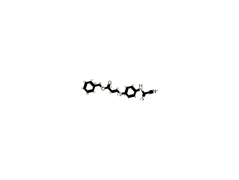 N#CC(=S)Nc1ccc(S/C=C/C(=O)OCc2ccccc2)cc1